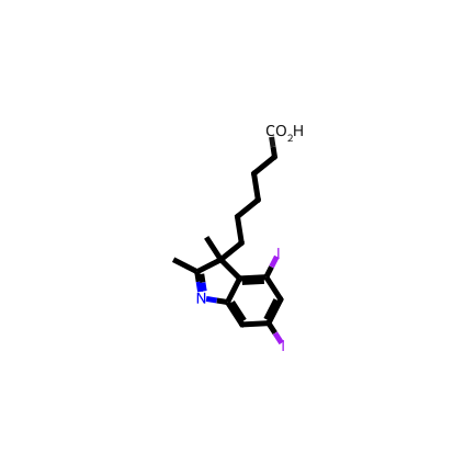 CC1=Nc2cc(I)cc(I)c2C1(C)CCCCCC(=O)O